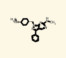 CNc1ncc2c(-c3ccccc3)nn(C[C@H]3CC[C@H](NC)CC3)c2n1